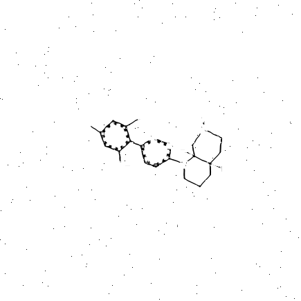 Cc1cc(C)c(-c2ccc(N3CCC[C@H]4CCN(C)C[C@H]43)nn2)c(O)c1